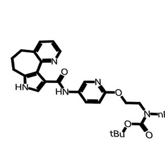 CCCN(CCOc1ccc(NC(=O)c2c[nH]c3c2-c2ncccc2CCC3)cn1)C(=O)OC(C)(C)C